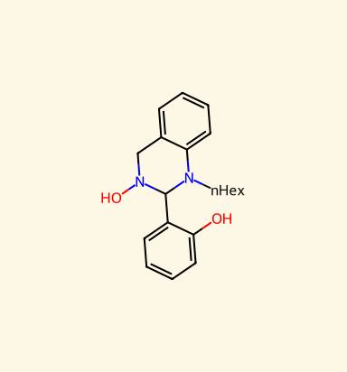 CCCCCCN1c2ccccc2CN(O)C1c1ccccc1O